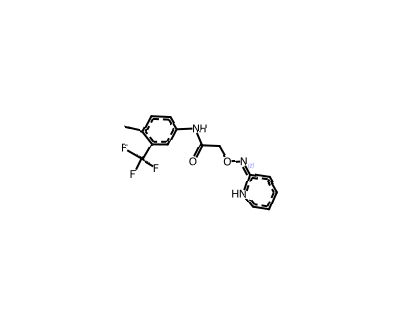 Cc1ccc(NC(=O)CO/N=c2/cccc[nH]2)cc1C(F)(F)F